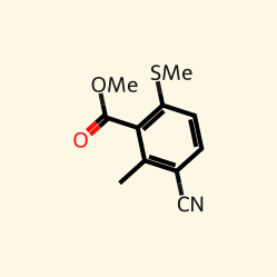 COC(=O)c1c(SC)ccc(C#N)c1C